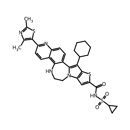 Cc1nc(C)c(-c2ccc3c4c(ccc3n2)-c2c(C3CCCCC3)c3sc(C(=O)NS(=O)(=O)C5CC5)cc3n2CCN4)s1